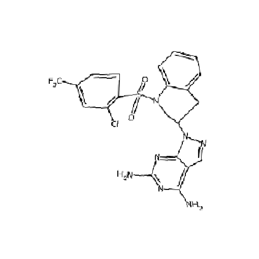 Nc1nc(N)c2cnn(C3Cc4ccccc4N(S(=O)(=O)c4ccc(C(F)(F)F)cc4Cl)C3)c2n1